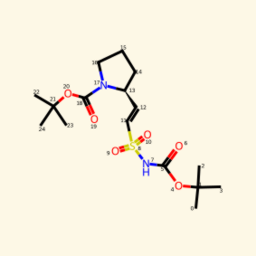 CC(C)(C)OC(=O)NS(=O)(=O)/C=C/[C@@H]1CCCN1C(=O)OC(C)(C)C